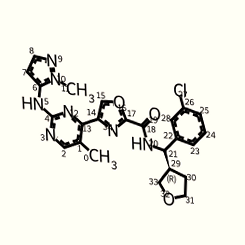 Cc1cnc(Nc2ccnn2C)nc1-c1coc(C(=O)NC(c2cccc(Cl)c2)[C@H]2CCOC2)n1